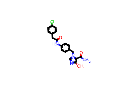 NC(=O)c1c(O)ncn1Cc1ccc(NC(=O)Cc2ccc(Cl)cc2)cc1